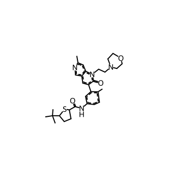 Cc1cc2c(cn1)cc(-c1cc(NC(=O)C3CCC(C(C)(C)C)S3)ccc1C)c(=O)n2CCN1CCOCC1